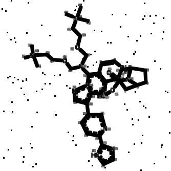 CCO/C=C\c1c(C2CC3CCC(C2)N3C(=O)OC(C)(C)C)nc2c(-c3ccc(-c4ncc[nH]4)nc3)cnn2c1N(COCC[Si](C)(C)C)COCC[Si](C)(C)C